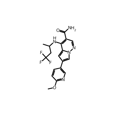 COc1ccc(-c2cc3c(NC(C)CC(F)(F)F)c(C(N)=O)cnn3c2)cn1